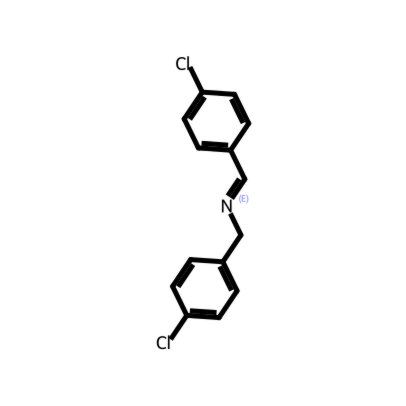 Clc1ccc(/C=N/Cc2ccc(Cl)cc2)cc1